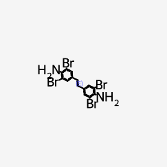 Nc1c(Br)cc(/C=C/c2cc(Br)c(N)c(Br)c2)cc1Br